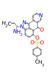 C=CC(N)n1nc2c3c(c(OS(=O)(=O)c4ccc(C)cc4)ccc31)C(=O)c1cnccc1-2